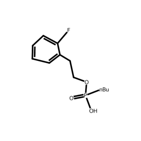 CCCCP(=O)(O)OCCc1ccccc1F